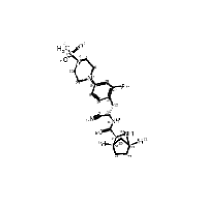 CS(=O)(=O)N1CCN(c2ccc(C[C@@H](C#N)NC(=O)[C@H]3N[C@@H]4CC[C@H]3C4)c(F)c2)CC1